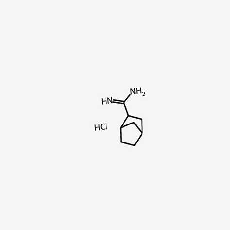 Cl.N=C(N)C1CC2CCC1C2